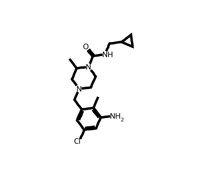 Cc1c(N)cc(Cl)cc1CN1CCN(C(=O)NCC2CC2)C(C)C1